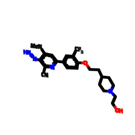 CNc1cc(-c2ccc(OCCC3CCN(CCO)CC3)c(C(F)(F)F)c2)nc(C#N)c1N=N